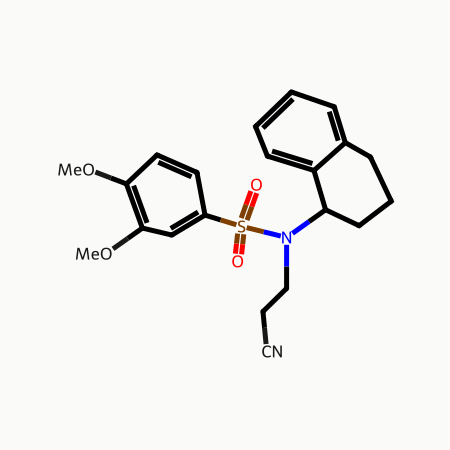 COc1ccc(S(=O)(=O)N(CCC#N)C2CCCc3ccccc32)cc1OC